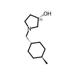 C[C@H]1CC[C@H](CN2CC[C@H](O)C2)CC1